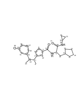 CC(c1ccc(C(=O)NC(CC2CCCC2)C(=O)NC2CC2)s1)N(C)c1cncc(Cl)c1